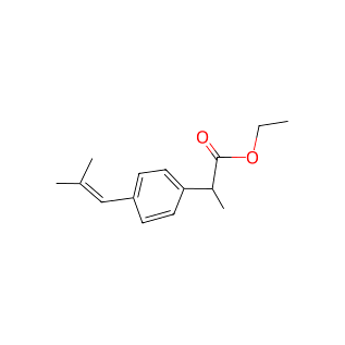 CCOC(=O)C(C)c1ccc(C=C(C)C)cc1